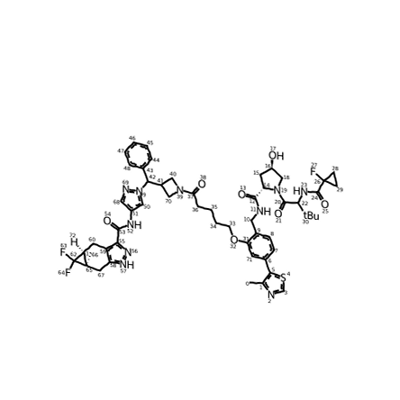 Cc1ncsc1-c1ccc(CNC(=O)[C@@H]2C[C@@H](O)CN2C(=O)C(NC(=O)C2(F)CC2)C(C)(C)C)c(OCCCCC(=O)N2CC(C(c3ccccc3)n3cc(NC(=O)c4n[nH]c5c4C[C@@H]4C(F)(F)[C@]4(C)C5)cn3)C2)c1